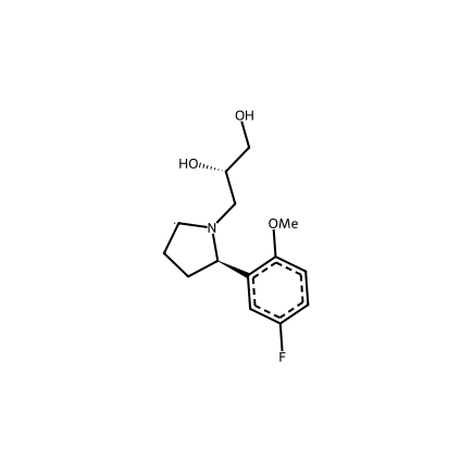 COc1ccc(F)cc1[C@H]1CC[CH]N1C[C@H](O)CO